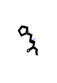 CCC(=O)/C=C/CN1CCCC1